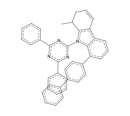 CC1CC=Cc2c1n(-c1nc(-c3ccccc3)nc(-c3ccccc3)n1)c1c(-c3ccc(-c4ccccc4)cc3)cccc21